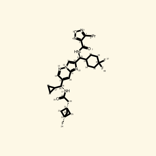 CC(C)c1nonc1C(=O)N[C@H](c1cn2ncc([C@H](NC(=O)C[C@]34C[C@](F)(C3)C4)C3CC3)cc2n1)C1CCC(F)(F)CC1